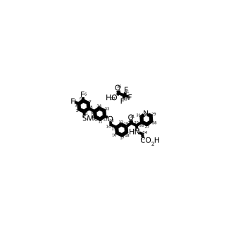 CSc1cc(F)c(F)cc1-c1ccc(OCc2cccc(C(=O)C(NCC(=O)O)c3cccnc3)c2)cc1.O=C(O)C(F)(F)F